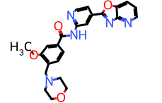 COc1cc(C(=O)Nc2cc(-c3nc4ncccc4o3)ccn2)ccc1CN1CCOCC1